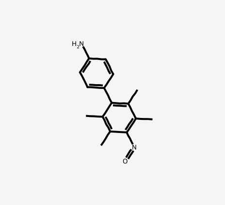 Cc1c(C)c(-c2ccc(N)cc2)c(C)c(C)c1N=O